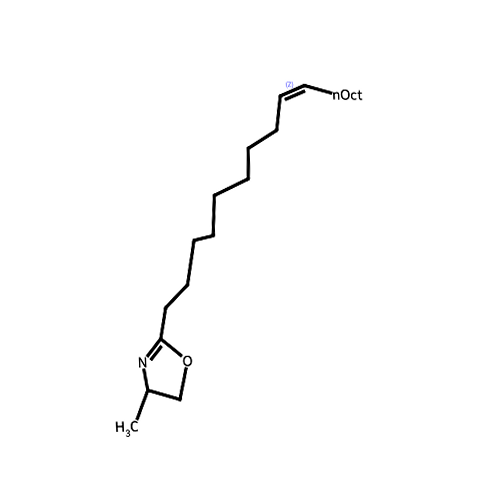 CCCCCCCC/C=C\CCCCCCCCC1=NC(C)CO1